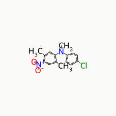 Cc1cc([N+](=O)[O-])c(C)cc1N(C)c1ccc(Cl)cc1